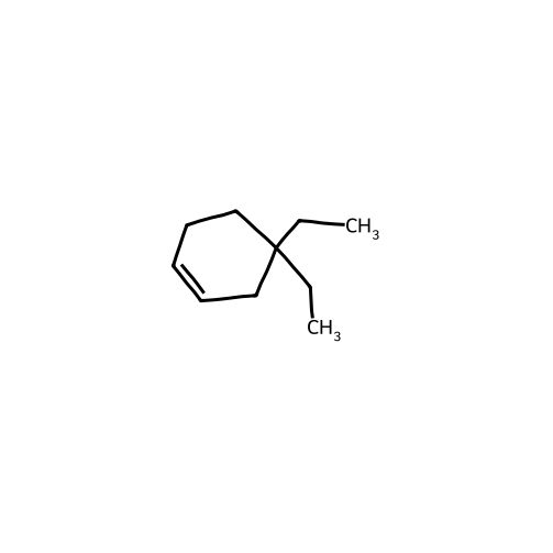 CCC1(CC)CC=CCC1